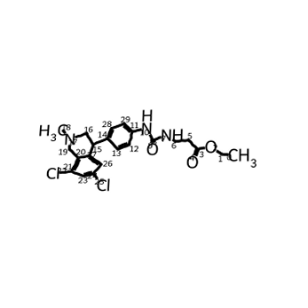 CCOC(=O)CCNC(=O)Nc1ccc(C2CN(C)Cc3c(Cl)cc(Cl)cc32)cc1